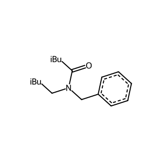 CCC(C)CN(Cc1ccccc1)C(=O)C(C)CC